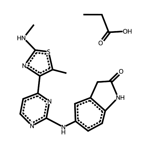 CCC(=O)O.CNc1nc(-c2ccnc(Nc3ccc4c(c3)CC(=O)N4)n2)c(C)s1